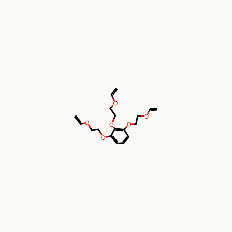 C=COCCOc1cccc(OCCOC=C)c1OCCOC=C